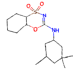 CC1CC(NC2=NS(=O)(=O)C3CCCCC3O2)CC(C)(C)C1